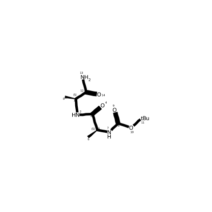 C[C@H](NC(=O)[C@H](C)NC(=O)OC(C)(C)C)C(N)=O